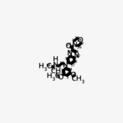 COc1cc(OC)cc(N(CCNC(C)C)c2ccc3ncc(C(=O)N4CCOCC4)nc3c2)c1